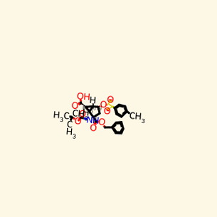 Cc1ccc(S(=O)(=O)O[C@H]2C[C@@](NC(=O)OC(C)(C)C)(C(=O)OCc3ccccc3)[C@@H]3[C@@H](C(=O)O)[C@@H]32)cc1